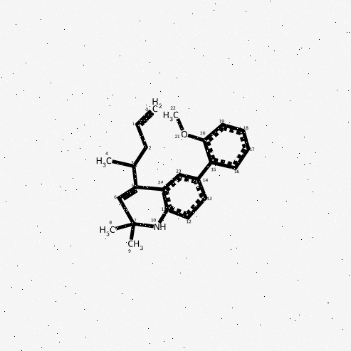 C=CC[C](C)C1=CC(C)(C)Nc2ccc(-c3ccccc3OC)cc21